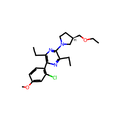 CCOC[C@@H]1CCN(c2nc(CC)c(-c3ccc(OC)cc3Cl)nc2CC)C1